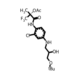 CC(=O)O[C@](C)(C(=O)Nc1ccc(NCC(O)COC(C)(C)C)cc1Cl)C(F)(F)F